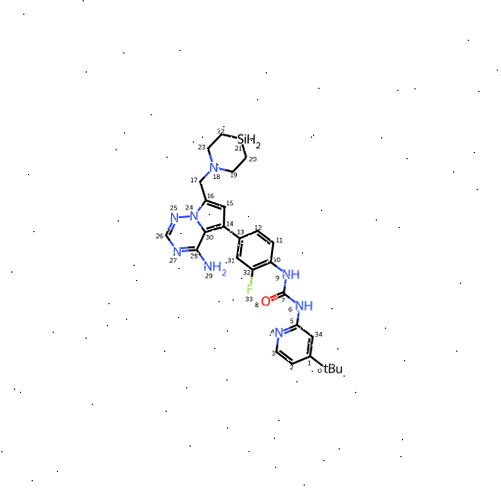 CC(C)(C)c1ccnc(NC(=O)Nc2ccc(-c3cc(CN4CC[SiH2]CC4)n4ncnc(N)c34)cc2F)c1